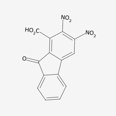 O=C1c2ccccc2-c2cc([N+](=O)[O-])c([N+](=O)[O-])c(C(=O)O)c21